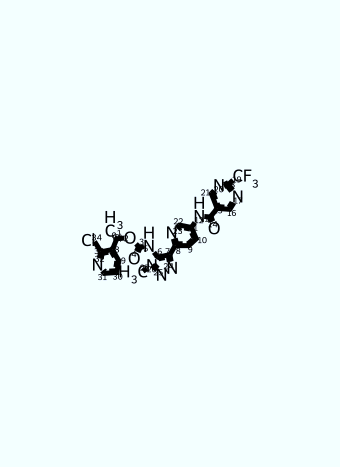 C[C@@H](OC(=O)Nc1c(-c2ccc(NC(=O)c3cnc(C(F)(F)F)nc3)cn2)nnn1C)c1cccnc1Cl